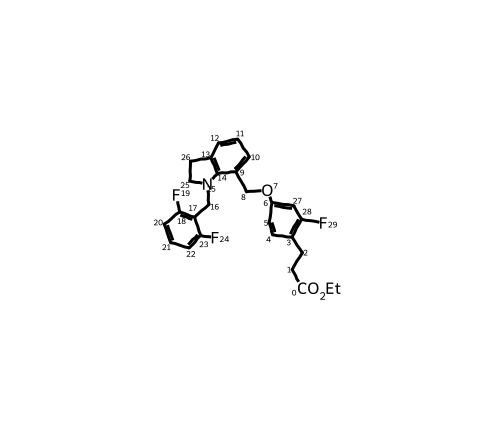 CCOC(=O)CCc1ccc(OCc2cccc3c2N(Cc2c(F)cccc2F)CC3)cc1F